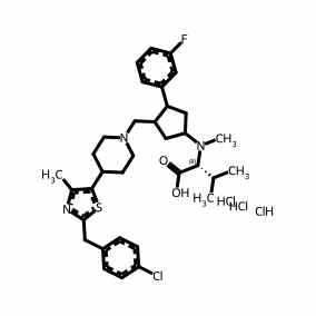 Cc1nc(Cc2ccc(Cl)cc2)sc1C1CCN(CC2CC(N(C)[C@@H](C(=O)O)C(C)C)CC2c2cccc(F)c2)CC1.Cl.Cl.Cl